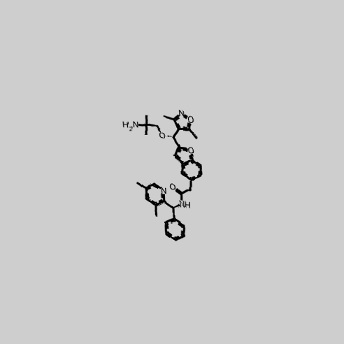 Cc1cnc([C@@H](NC(=O)Cc2ccc3oc([C@H](OCC(C)(C)N)c4c(C)noc4C)cc3c2)c2ccccc2)c(C)c1